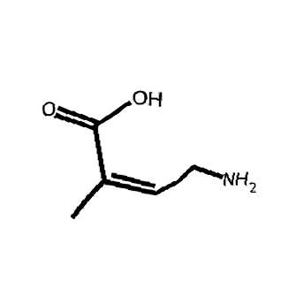 CC(=CCN)C(=O)O